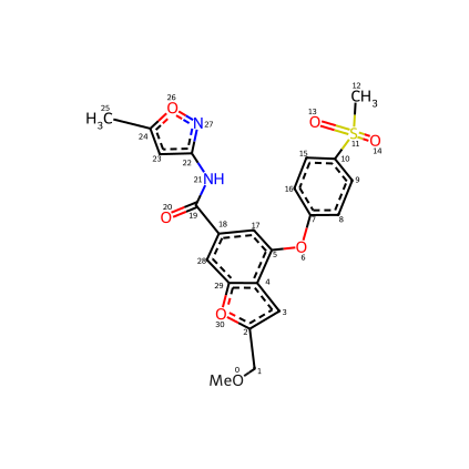 COCc1cc2c(Oc3ccc(S(C)(=O)=O)cc3)cc(C(=O)Nc3cc(C)on3)cc2o1